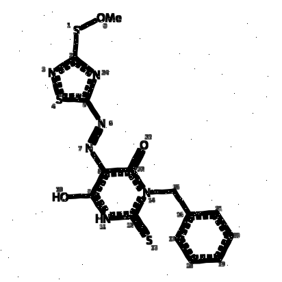 COSc1nsc(N=Nc2c(O)[nH]c(=S)n(Cc3ccccc3)c2=O)n1